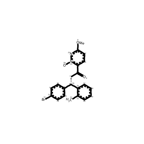 COc1ccc(C(=O)C[C@@H](c2ccc(Br)cc2)c2ccccc2C)[n+]([O-])n1